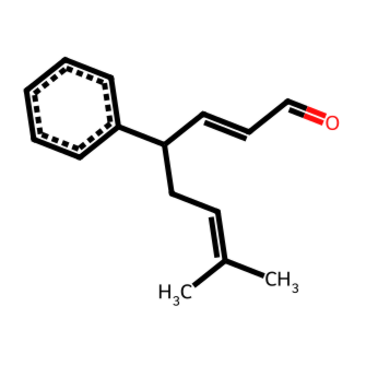 CC(C)=CCC(C=CC=O)c1ccccc1